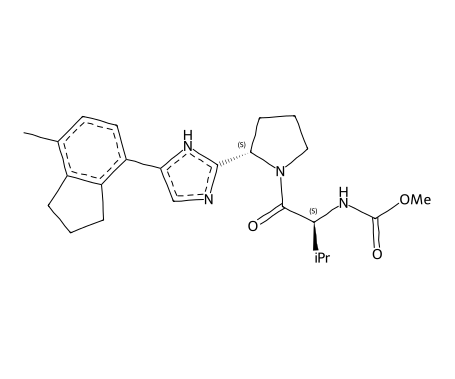 COC(=O)N[C@H](C(=O)N1CCC[C@H]1c1ncc(-c2ccc(C)c3c2CCC3)[nH]1)C(C)C